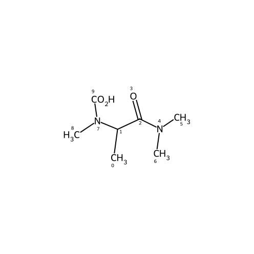 CC(C(=O)N(C)C)N(C)C(=O)O